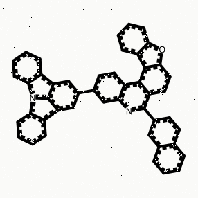 c1ccc2cc(-c3nc4cc(-c5cc6c7ccccc7n7c8ccccc8c(c5)c67)ccc4c4c3ccc3oc5ccccc5c34)ccc2c1